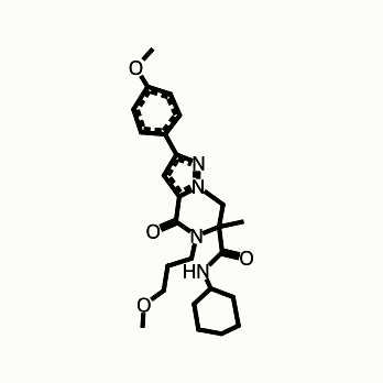 COCCCN1C(=O)c2cc(-c3ccc(OC)cc3)nn2CC1(C)C(=O)NC1CCCCC1